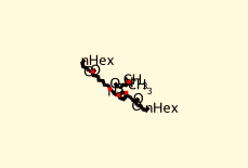 CCCCCC/C=C\COC(=O)CCCCCCCN(Cc1ccc(CCC(=O)OC/C=C\CCCCCC)cc1)C(=O)SCCN(C)C